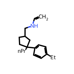 C=CNCC1CCC(CCC)(c2ccc(CC)cc2)C1